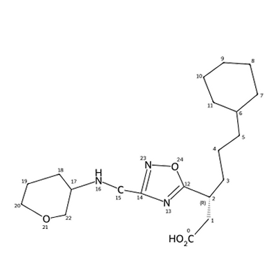 O=C(O)C[C@@H](CCCC1CCCCC1)c1nc(CNC2CCCOC2)no1